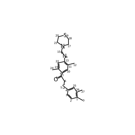 Cc1ccc(SCC(=O)c2cc(C)c(N=CN3CCSCC3)cc2C)cc1C